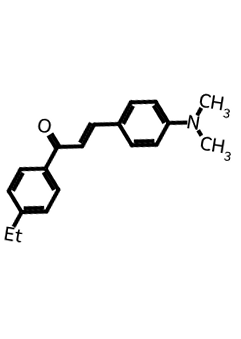 CCc1ccc(C(=O)C=Cc2ccc(N(C)C)cc2)cc1